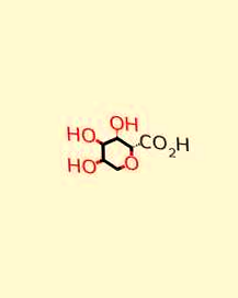 O=C(O)[C@@H]1OCC(O)C(O)[C@@H]1O